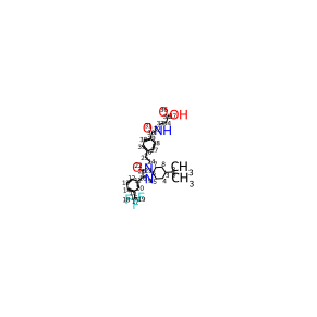 CC(C)C1CCC2(CC1)N=C(c1cccc(C(F)(F)F)c1)C(=O)N2CCc1ccc(C(=O)NCCC(=O)O)cc1